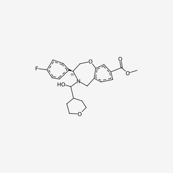 COC(=O)c1ccc2c(c1)OC[C@H](c1ccc(F)cc1)N(C(O)C1CCOCC1)C2